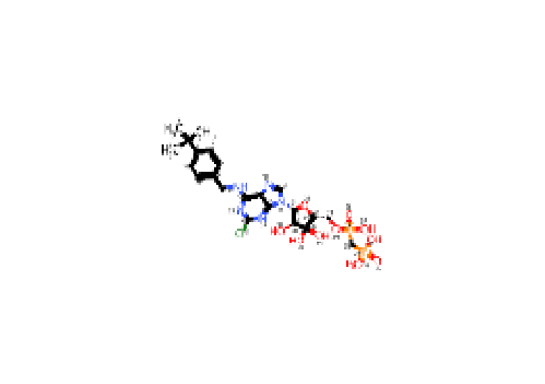 CC(C)(C)c1ccc(CNc2nc(Cl)nc3c2ncn3[C@@H]2O[C@H](COP(=O)(O)CP(=O)(O)O)C(O)(O)[C@H]2O)cc1